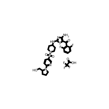 Nc1nc(NC2CCN(S(=O)(=O)c3ccc(N4CCCC4CO)nc3)CC2)sc1C(=O)c1c(F)cccc1F.O=C(O)C(F)(F)F